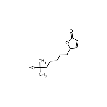 CC(C)(O)CCCCCC1C=CC(=O)O1